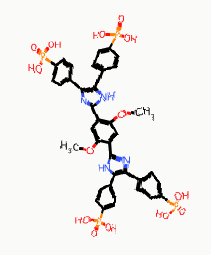 COc1cc(-c2nc(-c3ccc(P(=O)(O)O)cc3)c(-c3ccc(P(=O)(O)O)cc3)[nH]2)c(OC)cc1-c1nc(-c2ccc(P(=O)(O)O)cc2)c(-c2ccc(P(=O)(O)O)cc2)[nH]1